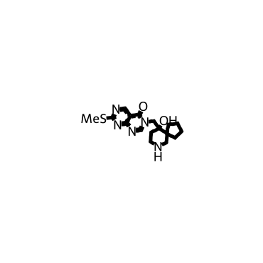 CSc1ncc2c(=O)n(CC3(O)CCNCC34CCCC4)cnc2n1